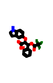 O=C(O)C(Oc1ccc2c(c1)CCN2)C(OC(=O)C(F)(F)F)c1ccccc1